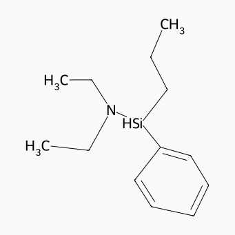 CCC[SiH](c1ccccc1)N(CC)CC